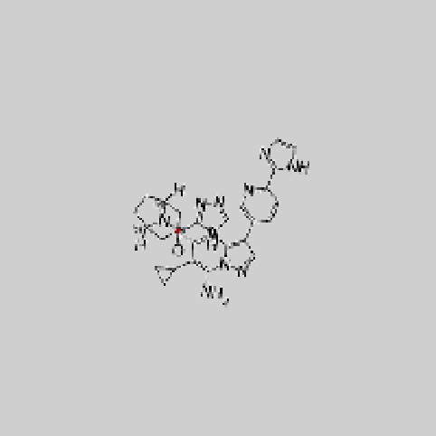 Nc1c(C2CC2)c([C@H]2C[C@H]3CC[C@@H](C2)N3C(=O)c2nnc[nH]2)nc2c(-c3ccc(-c4ncc[nH]4)nc3)cnn12